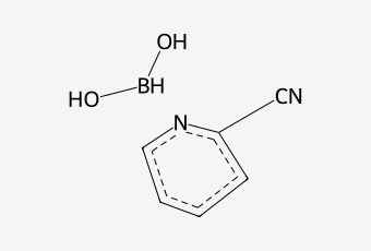 N#Cc1ccccn1.OBO